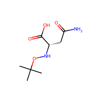 CC(C)(C)ON[C@@H](CC(N)=O)C(=O)O